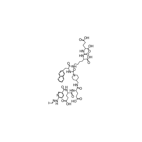 O=C(O)CCC(NC(=O)NC(CCCCNC(=O)C(Cc1ccc2ccccc2c1)NC(=O)N1CCC(CNC(=O)C(CCC(=O)O)NC(=O)C(CCC(=O)O)NC(=O)c2ccc(N/N=C/I)nc2)CC1)C(=O)O)C(=O)O